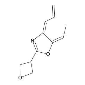 C=C/C=c1/nc(C2COC2)o/c1=C/C